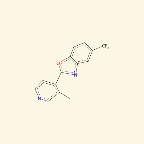 Cc1cnccc1-c1nc2cc(C(F)(F)F)ccc2o1